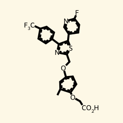 Cc1cc(OCc2nc(-c3ccc(C(F)(F)F)cc3)c(-c3ccc(F)nc3)s2)ccc1OCC(=O)O